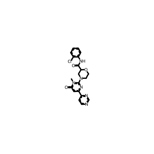 Cn1c(N2CCOC(C(=O)Nc3ccccc3Cl)C2)nc(-c2ccncn2)cc1=O